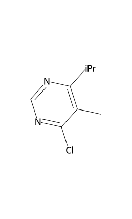 Cc1c(Cl)ncnc1C(C)C